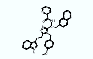 COc1ccc(Cn2c(CCc3c[nH]c4ccccc34)nnc2[C@@H](Cc2ccc3ccccc3c2)NC(=O)c2ccccn2)cc1